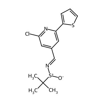 CC(C)(C)[S+]([O-])/N=C/c1cc(Cl)nc(-c2cccs2)c1